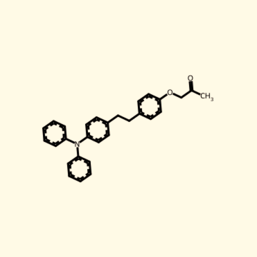 CC(=O)COc1ccc(CCc2ccc(N(c3ccccc3)c3ccccc3)cc2)cc1